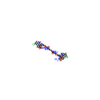 Cc1cc(Cl)cc2c1CN(C)CC2c1c(F)ccc(S(N)(=O)=O)c1[C@@H]1CCN(CCOCCNC(=O)NCCCCNC(=O)NCCOCCN2CC[C@@H](c3c(S(N)(=O)=O)ccc(F)c3C3CN(C)Cc4c(C)cc(Cl)cc43)C2)C1